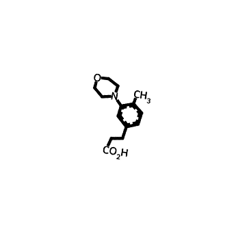 Cc1ccc(CCC(=O)O)cc1N1CCOCC1